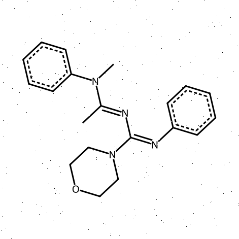 CC(=NC(=Nc1ccccc1)N1CCOCC1)N(C)c1ccccc1